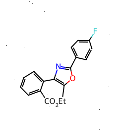 CCOC(=O)c1ccccc1-c1nc(-c2ccc(F)cc2)oc1C